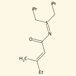 CC/C(C)=C/C(=O)N=S(CC(C)C)CC(C)C